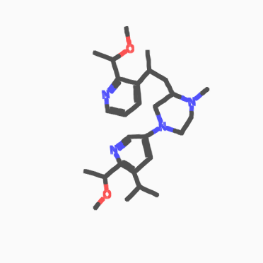 COC(C)c1ncc(N2CCN(C)C(CC(C)c3cccnc3C(C)OC)C2)cc1C(C)C